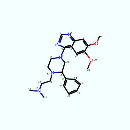 COc1cc2ncnc(N3CCN(CCN(C)C)C(c4ccccc4)C3)c2cc1OC